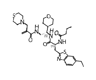 C=C(CN1CCSCC1)C(=O)NC[C@@H](NC(=O)[C@H](Cc1nc2ccc(CC)cc2s1)NC(=O)CCC)C1CCOCC1